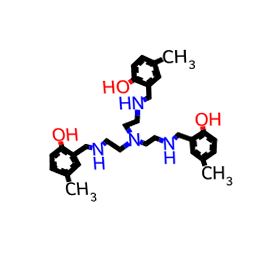 Cc1ccc(O)c(CNCCN(CCNCc2cc(C)ccc2O)CCNCc2cc(C)ccc2O)c1